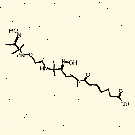 C/C(=N\O)C(C)(C)NOCCNC(C)(C)/C(CCNC(=O)CCCCCC(=O)O)=N/O